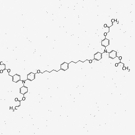 C=CC(=O)COc1ccc(N(c2ccc(OCCCCCc3ccc(CCCCCOc4ccc(N(c5ccc(COC(=O)C=C)cc5)c5ccc(OC(=O)C=C)cc5)cc4)cc3)cc2)c2ccc(OC(=O)C=C)cc2)cc1